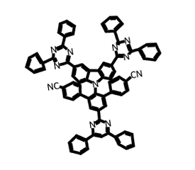 N#Cc1ccc(-c2cc(-c3nc(-c4ccccc4)cc(-c4ccccc4)n3)cc(-c3ccc(C#N)cc3)c2-n2c3ccc(-c4nc(-c5ccccc5)nc(-c5ccccc5)n4)cc3c3cc(-c4nc(-c5ccccc5)nc(-c5ccccc5)n4)ccc32)cc1